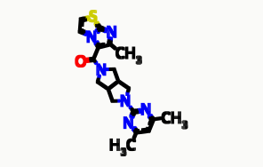 Cc1cc(C)nc(N2CC3CN(C(=O)c4c(C)nc5sccn45)CC3C2)n1